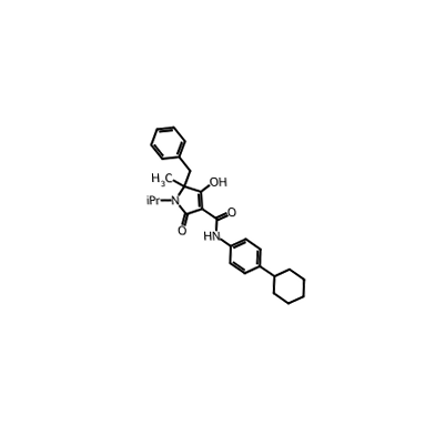 CC(C)N1C(=O)C(C(=O)Nc2ccc(C3CCCCC3)cc2)=C(O)C1(C)Cc1ccccc1